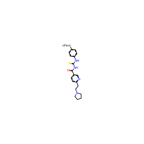 CCCCCc1ccc(NC(=S)NC(=O)c2ccc(CCN3CCCC3)nc2)cc1